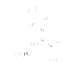 Cc1cc([C@H](C)Nc2ccccc2C(=O)O)c2nc(N3C[C@@H]4CC(F)(F)C[C@@H]4C3)cc(=O)n2c1